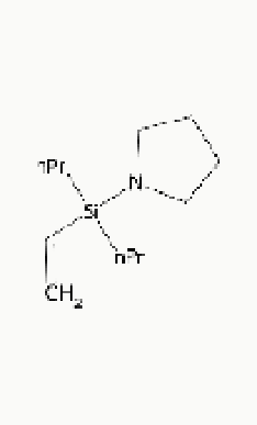 C=C[Si](CCC)(CCC)N1CCCC1